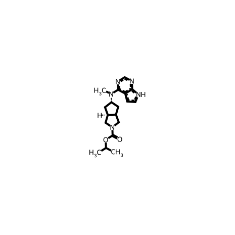 CC(C)OC(=O)N1CC2C[C@@H](N(C)c3ncnc4[nH]ccc34)C[C@@H]2C1